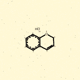 C1=Cc2ccccc2OC1.Cl